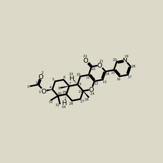 CC(=O)O[C@H]1CC[C@]2(C)[C@H]3Cc4c(cc(-c5cccnc5)oc4=O)O[C@]3(C)CC[C@H]2C1(C)C